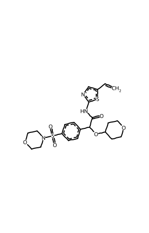 C=Cc1cnc(NC(=O)C(OC2CCOCC2)c2ccc(S(=O)(=O)N3CCOCC3)cc2)s1